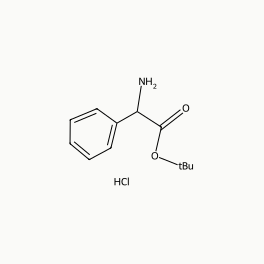 CC(C)(C)OC(=O)C(N)c1ccccc1.Cl